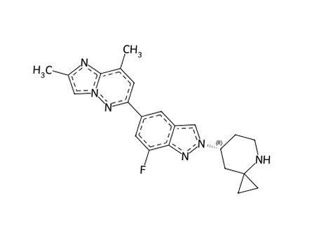 Cc1cn2nc(-c3cc(F)c4nn([C@@H]5CCNC6(CC6)C5)cc4c3)cc(C)c2n1